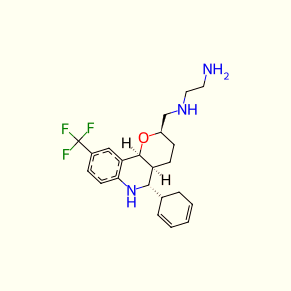 NCCNC[C@H]1CC[C@@H]2[C@H](O1)c1cc(C(F)(F)F)ccc1N[C@H]2C1C=CC=CC1